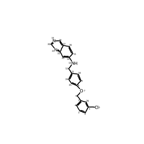 Clc1cccc(COc2ccc(CNc3ccc4cncnc4c3)cc2)c1